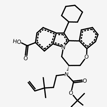 C=CC(C)(C)CCN(C(=O)OC(C)(C)C)[C@H]1COc2ccccc2-c2c(C3CCCCC3)c3ccc(C(=O)O)cc3n2C1